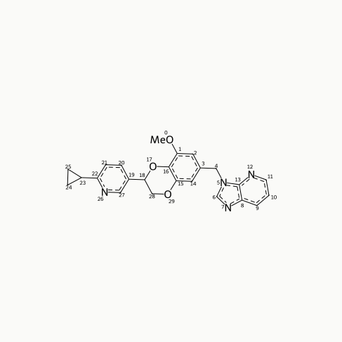 COc1cc(Cn2cnc3cccnc32)cc2c1OC(c1ccc(C3CC3)nc1)CO2